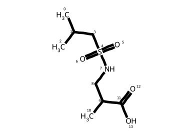 CC(C)CS(=O)(=O)NCC(C)C(=O)O